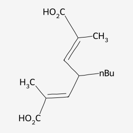 CCCCC(/C=C(\C)C(=O)O)/C=C(\C)C(=O)O